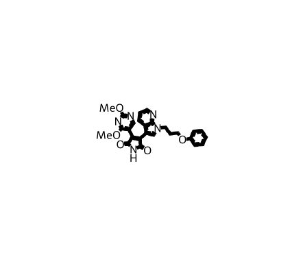 COc1ncc(C2=C(c3cn(CCCOc4ccccc4)c4ncccc34)C(=O)NC2=O)c(OC)n1